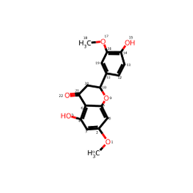 COc1cc(O)c2c(c1)OC(c1ccc(O)c(OC)c1)CC2=O